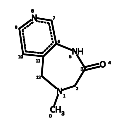 CN1CC(=O)Nc2cnccc2C1